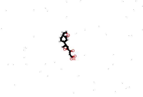 O=C(O)CC(=O)c1cc(-c2ccc3ccoc3c2)co1